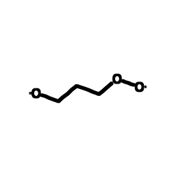 [O]CCCO[O]